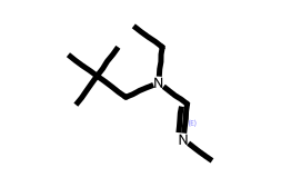 CCN(/C=N/C)CC(C)(C)C